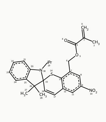 C=C(C)C(=O)OCc1cc([N+](=O)[O-])cc2c1SC1(C=C2)N(C(C)C)c2ccccc2C1(C)C